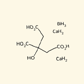 O=C(O)CC(O)(CC(=O)O)C(=O)O.[BiH3].[CaH2].[CaH2]